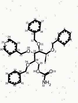 C[C@H](OCc1ccccc1)[C@H](OCc1ccccc1)[C@@H](OCc1ccccc1)[C@H](COC(N)=O)OCc1ccccc1